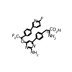 Nc1nc(O[C@H](c2ccc(-c3ccc(F)nc3)cc2)C(F)(F)F)cc(-c2ccc(C[C@H](N)C(=O)O)cc2)n1